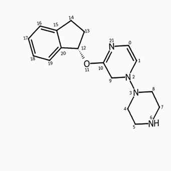 C1=CN(N2CCNCC2)CC(O[C@H]2CCc3ccccc32)=N1